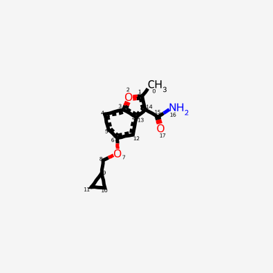 Cc1oc2ccc(OCC3CC3)cc2c1C(N)=O